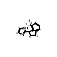 Cc1cccc2c1C(c1ncc[nH]1)CC2